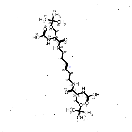 CC(C)(C)OC[C@H](NC(=O)O)C(=O)NCC/C=C/CCNC(=O)[C@H](COC(C)(C)C)NC(=O)O